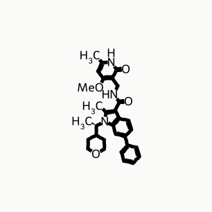 COc1cc(C)[nH]c(=O)c1CNC(=O)c1c(C)n([C@@H](C)C2CCOCC2)c2cc(-c3ccccc3)ccc12